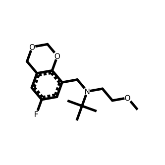 COCCN(Cc1cc(F)cc2c1OCOC2)C(C)(C)C